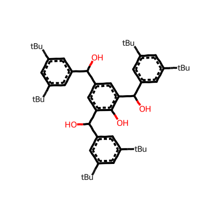 CC(C)(C)c1cc(C(O)c2cc(C(O)c3cc(C(C)(C)C)cc(C(C)(C)C)c3)c(O)c(C(O)c3cc(C(C)(C)C)cc(C(C)(C)C)c3)c2)cc(C(C)(C)C)c1